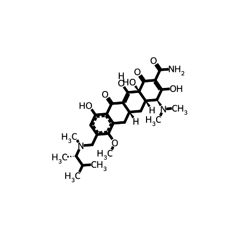 COc1c(CN(C)[C@@H](C)C(C)C)cc(O)c2c1C[C@H]1C[C@H]3[C@H](N(C)C)C(O)=C(C(N)=O)C(=O)[C@@]3(O)C(O)=C1C2=O